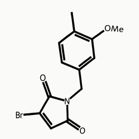 COc1cc(CN2C(=O)C=C(Br)C2=O)ccc1C